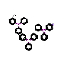 I.[Ir].c1ccc(P(c2ccccc2)c2ccccc2)cc1.c1ccc(P(c2ccccc2)c2ccccc2)cc1.c1ccc(P(c2ccccc2)c2ccccc2)cc1